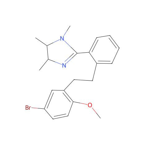 COc1ccc(Br)cc1CCc1ccccc1C1=NC(C)C(C)N1C